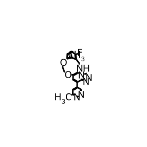 Cc1cc(-c2cc3c(n4cnnc24)NCc2c(F)ccc(c2C)OCCO3)cnn1